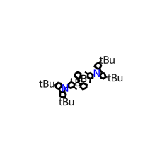 Cc1cc(-n2c3ccc(C(C)(C)C)cc3c3cc(C(C)(C)C)ccc32)cc(C)c1B1c2ccccc2B(c2c(C)cc(-n3c4ccc(C(C)(C)C)cc4c4cc(C(C)(C)C)ccc43)cc2C)c2ccccc21